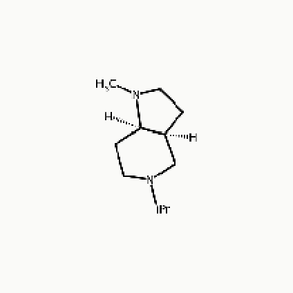 CC(C)N1CC[C@@H]2[C@@H](CCN2C)C1